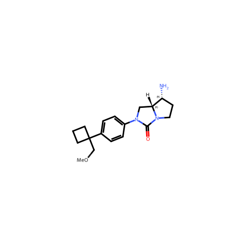 COCC1(c2ccc(N3C[C@@H]4[C@H](N)CCN4C3=O)cc2)CCC1